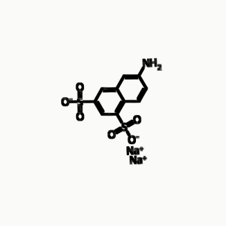 Nc1ccc2c(S(=O)(=O)[O-])cc(S(=O)(=O)[O-])cc2c1.[Na+].[Na+]